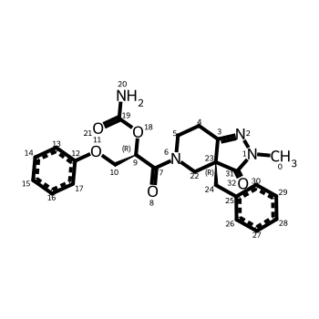 CN1N=C2CCN(C(=O)[C@@H](COc3ccccc3)OC(N)=O)C[C@@]2(Cc2ccccc2)C1=O